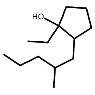 CCCC(C)CC1CCCC1(O)CC